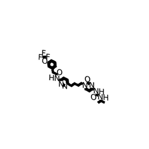 CC(C)NC(=O)Nc1ccn(CCCCc2ccc(NC(=O)Cc3cccc(OC(F)(F)F)c3)nn2)c(=O)n1